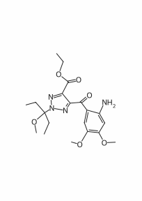 CCOC(=O)c1nn(C(CC)(CC)OC)nc1C(=O)c1cc(OC)c(OC)cc1N